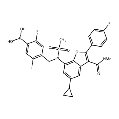 CNC(=O)c1c(-c2ccc(F)cc2)oc2c(N(Cc3cc(F)c(B(O)O)cc3F)S(C)(=O)=O)cc(C3CC3)cc12